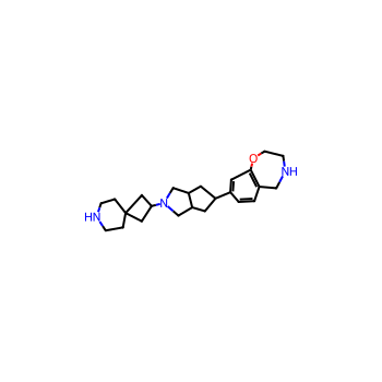 c1cc2c(cc1C1CC3CN(C4CC5(CCNCC5)C4)CC3C1)OCCNC2